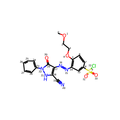 COCCOc1ccc(S(=O)(=O)Cl)cc1N=Nc1c(C#N)[nH]n(-c2ccccc2)c1=O